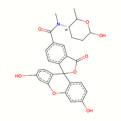 CC1OC(O)CC[C@@H]1N(C)C(=O)c1ccc2c(c1)C(=O)OC21c2ccc(O)cc2Oc2cc(O)ccc21